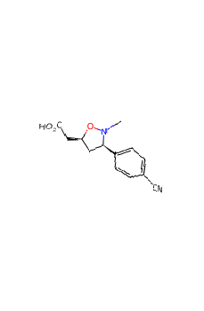 CN1O[C@H](CC(=O)O)C[C@@H]1c1ccc(C#N)cc1